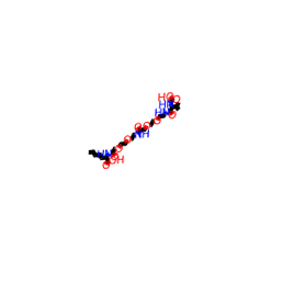 CCCCCC(NC(=O)COCCOCCNC(=O)COCCOCCNC(=O)C(NC(=O)O)C(C)C)C(=O)O